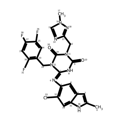 Cc1cc2cc(N=c3[nH]c(=O)n(Cc4ncn(C)n4)c(=O)n3Cc3cc(F)c(F)cc3F)c(Cl)cc2[nH]1